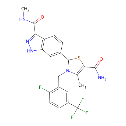 CNC(=O)c1n[nH]c2cc(C3SC(C(N)=O)=C(C)N3Cc3cc(C(F)(F)F)ccc3F)ccc12